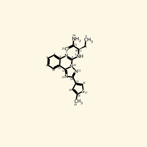 CC[C@@H](Nc1nc2ccccc2c2nc(-c3csc(C)c3)nn12)C(N)=O